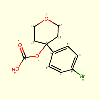 O=C(O)OC1(c2ccc(Br)cc2)CCOCC1